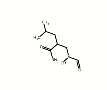 CC(C)CC(CN(O)C=O)C(N)=O